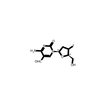 Nc1nc(=O)n([C@H]2CC(F)[C@@H](CO)O2)cc1C=O